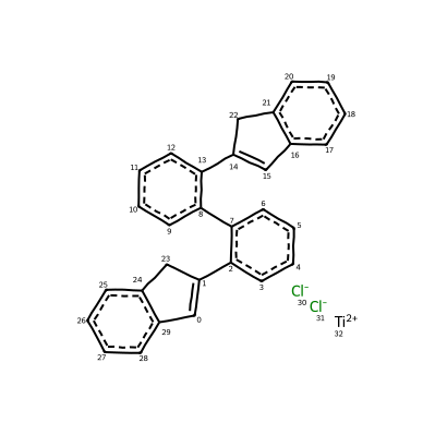 C1=C(c2ccccc2-c2ccccc2C2=Cc3ccccc3C2)Cc2ccccc21.[Cl-].[Cl-].[Ti+2]